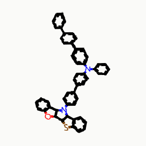 c1ccc(-c2ccc(-c3ccc(N(c4ccccc4)c4ccc(-c5ccc(N6C7c8ccccc8OC7C7Sc8ccccc8C76)cc5)cc4)cc3)cc2)cc1